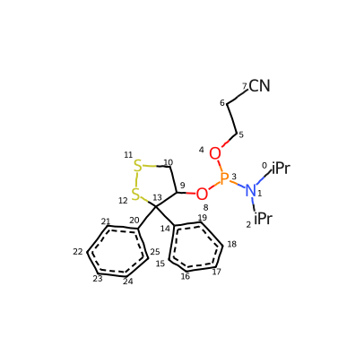 CC(C)N(C(C)C)P(OCCC#N)OC1CSSC1(c1ccccc1)c1ccccc1